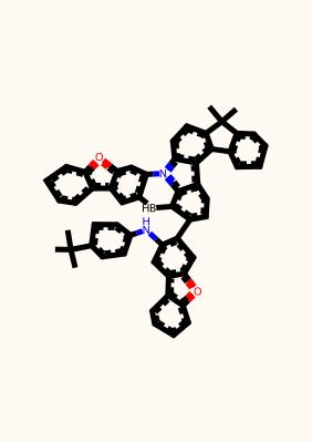 CC(C)(C)c1ccc(Nc2cc3c(cc2-c2ccc4c5c6c(ccc5n5c4c2Bc2cc4c(cc2-5)oc2ccccc24)C(C)(C)c2ccccc2-6)oc2ccccc23)cc1